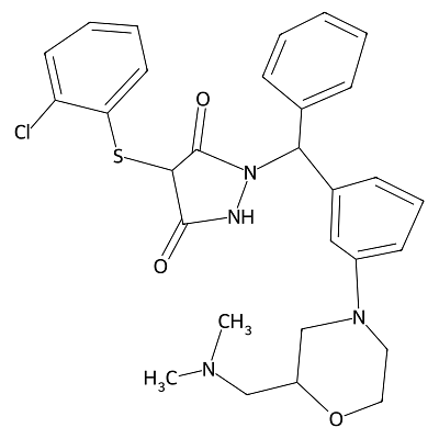 CN(C)CC1CN(c2cccc(C(c3ccccc3)N3NC(=O)C(Sc4ccccc4Cl)C3=O)c2)CCO1